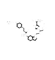 COc1ccc(CCC(=O)Nc2ccc3ccn(CC[C@H](CO)n4cnc(C(N)=O)c4)c3c2)cc1